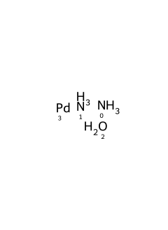 N.N.O.[Pd]